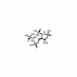 O=C[C@H](OP(=O)(O)O)[C@H](OP(=O)(O)O)[C@@H](COP(=O)(O)O)OP(=O)(O)O